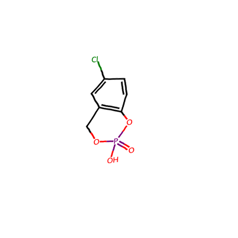 O=P1(O)OCc2cc(Cl)ccc2O1